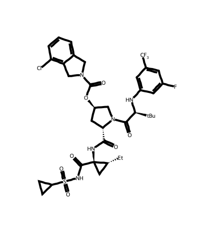 CC[C@@H]1C[C@]1(NC(=O)[C@@H]1C[C@@H](OC(=O)N2Cc3cccc(Cl)c3C2)CN1C(=O)[C@@H](Nc1cc(F)cc(C(F)(F)F)c1)C(C)(C)C)C(=O)NS(=O)(=O)C1CC1